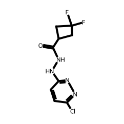 O=C(NNc1ccc(Cl)nn1)C1CC(F)(F)C1